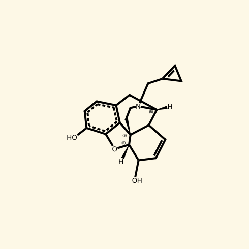 Oc1ccc2c3c1O[C@H]1C(O)C=CC4[C@@H](C2)N(CC2=CC2)CC[C@@]341